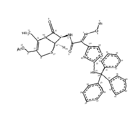 CCCON=C(C(=O)N[C@@H]1C(=O)N2C(C(=O)O)=C(COC(C)=O)CS[C@H]12)c1csc(NC(c2ccccc2)(c2ccccc2)c2ccccc2)n1